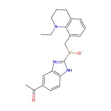 CCN1CCCc2cccc(C[S+]([O-])c3nc4cc(C(C)=O)ccc4[nH]3)c21